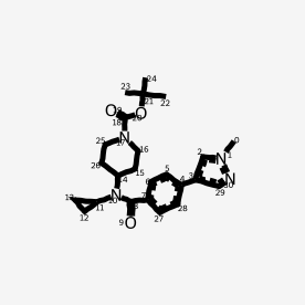 Cn1cc(-c2ccc(C(=O)N(C3CC3)C3CCN(C(=O)OC(C)(C)C)CC3)cc2)cn1